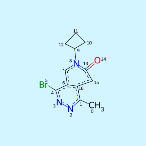 Cc1nnc(Br)c2cn(C3CCC3)c(=O)cc12